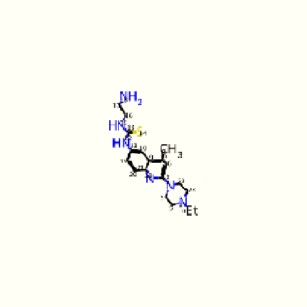 CCN1CCN(c2cc(C)c3cc(NC(=S)NCCN)ccc3n2)CC1